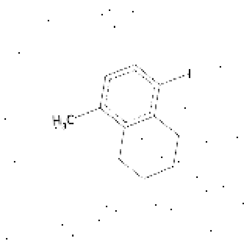 Cc1ccc(I)c2c1CCCC2